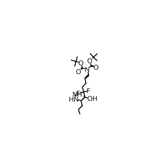 CCCC(NN)C(O)C(F)(F)CCC=CN(C(=O)OC(C)(C)C)C(=O)OC(C)(C)C